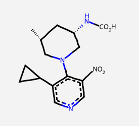 C[C@@H]1C[C@H](NC(=O)O)CN(c2c(C3CC3)cncc2[N+](=O)[O-])C1